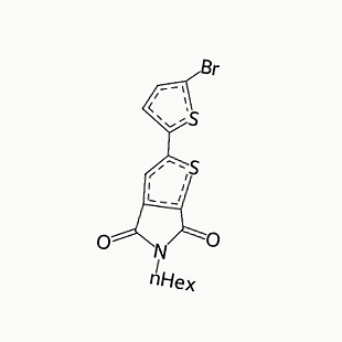 CCCCCCN1C(=O)c2cc(-c3ccc(Br)s3)sc2C1=O